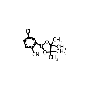 CC1(C)OB(c2cc(Cl)ccc2C#N)OC1(C)C